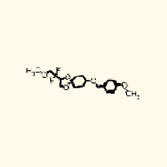 COCC(F)(F)C1COC2(CCC(OCc3ccc(OC)cc3)CC2)O1